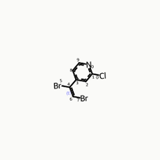 Clc1cc(/C(Br)=C\Br)ccn1